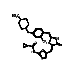 O=C1NC(=Nc2ccc(OC3CCC(C(=O)O)CC3)cc2C(F)(F)F)SC1=Cc1cnc(NC(=O)C2CC2)s1